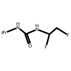 CC(C)NC(=O)NC(F)CF